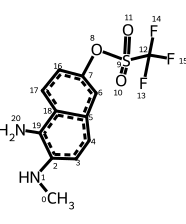 CNc1ccc2cc(OS(=O)(=O)C(F)(F)F)ccc2c1N